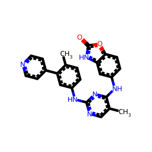 Cc1ccc(Nc2ncc(C)c(Nc3ccc4oc(=O)[nH]c4c3)n2)cc1-c1ccncc1